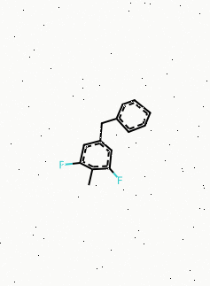 Cc1c(F)cc(Cc2ccccc2)cc1F